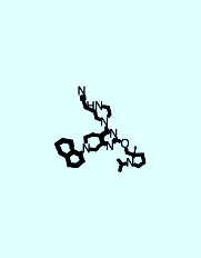 CC(C)N1CCC[C@@]1(C)COc1nc2c(c(N3CCNC(CC#N)C3)n1)CCN(c1cccc3ccccc13)C2